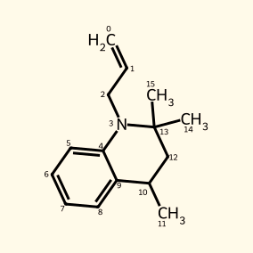 C=CCN1c2ccccc2C(C)CC1(C)C